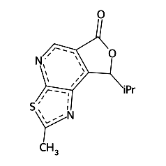 Cc1nc2c3c(cnc2s1)C(=O)OC3C(C)C